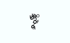 O=c1cnc2ncccc2n1Cc1ccc(-c2cccnc2)cc1F